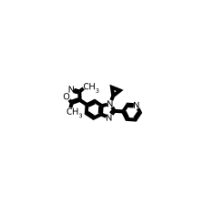 Cc1noc(C)c1-c1ccc2nc(-c3cccnc3)n(C3CC3)c2c1